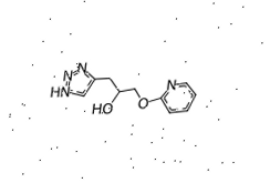 OC(COc1ccccn1)Cc1c[nH]nn1